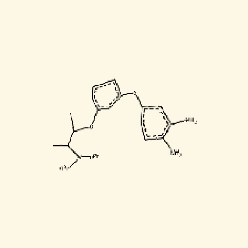 CCCN(CCC)C(C)C(C)Oc1cccc(Sc2ccc(N)c(N)c2)c1